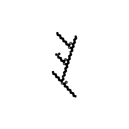 CCCCCCCCC(=O)OC(CCCCCC)CSCCCCCC(CCCCCSCC(CCCCCC)OC(=O)CCCCCCCC)OC(=O)CCCN(C)C